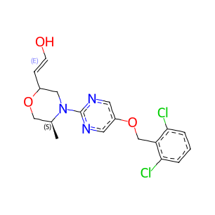 C[C@H]1COC(/C=C/O)CN1c1ncc(OCc2c(Cl)cccc2Cl)cn1